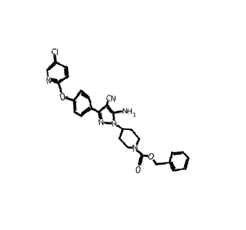 N#Cc1c(-c2ccc(Oc3ccc(Cl)cn3)cc2)nn(C2CCN(C(=O)OCc3ccccc3)CC2)c1N